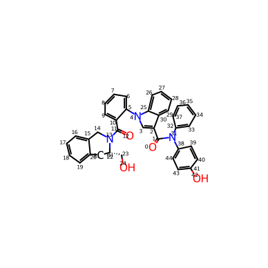 O=C(c1cn(-c2ccccc2C(=O)N2Cc3ccccc3C[C@H]2CO)c2ccccc12)N(c1ccccc1)c1ccc(O)cc1